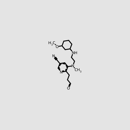 COC1CCCC(NCCN(C)c2cc(C#N)cnc2CCC=O)C1